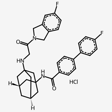 Cl.O=C(NC12C[C@@H]3C[C@@H](CC(NCC(=O)N4Cc5ccc(F)cc5C4)(C3)C1)C2)c1ccc(-c2ccc(F)cc2)cc1